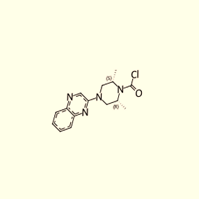 C[C@@H]1CN(c2cnc3ccccc3n2)C[C@H](C)N1C(=O)Cl